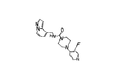 O=C(NCc1cccn2nccc12)N1CCN(c2ccncc2F)CC1